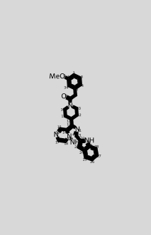 COc1cccc(CC(=O)N2CCC(C3=C4C=NC=C[N+]4(N)C(c4cc5ccccc5[nH]4)=N3)CC2)c1